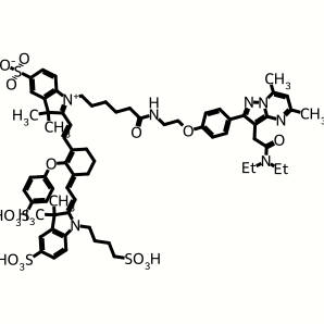 CCN(CC)C(=O)Cc1c(-c2ccc(OCCNC(=O)CCCCC[N+]3=C(/C=C/C4=C(Oc5ccc(S(=O)(=O)O)cc5)C(=C/C=C5/N(CCCCS(=O)(=O)O)c6ccc(S(=O)(=O)O)cc6C5(C)C)/CCC4)C(C)(C)c4cc(S(=O)(=O)[O-])ccc43)cc2)nn2c(C)cc(C)nc12